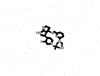 CC1(C)CN(c2cccc(CNc3ccnc4[nH]cc(-c5ccncc5F)c34)n2)CCN1